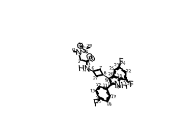 CN(CC(=O)N[C@H]1C[C@@H](c2c(-c3ccc(F)cc3)[nH]c3c(F)cc(F)cc32)C1)S(C)(=O)=O